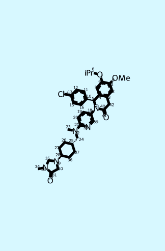 COc1cc2c(cc1OC(C)C)[C@H](c1ccc(Cl)cc1)N(c1ccc(N(C)C[C@H]3CC[C@H](N4CC(=O)N(C)C4)CC3)nc1)C(=O)C2